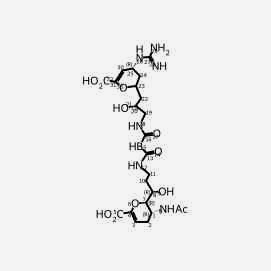 CC(=O)N[C@@H]1CC=C(C(=O)O)O[C@H]1[C@H](O)CCNC(=O)BC(=O)NC[C@@H](O)CC1C[C@@H](NC(=N)N)C=C(C(=O)O)O1